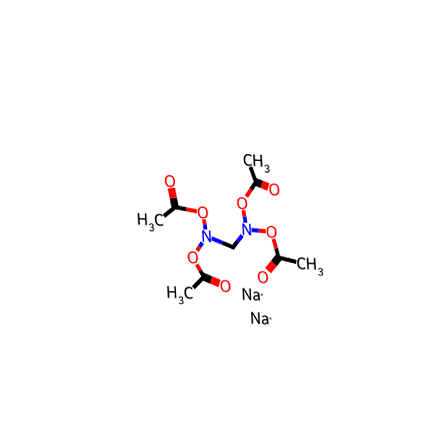 CC(=O)ON(CN(OC(C)=O)OC(C)=O)OC(C)=O.[Na].[Na]